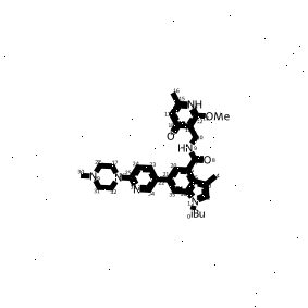 CCC(C)n1cc(C)c2c(C(=O)NCc3c(OC)[nH]c(C)cc3=O)cc(-c3ccc(N4CCN(C)CC4)nc3)cc21